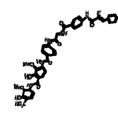 COc1c(NC(=O)c2ccc(NC(=O)c3ccc(NC(=O)CNC(=O)c4ccc(NC(=O)/C(F)=C/c5ccccc5)cc4)cc3)c(OC)c2O)ccc(C(=O)O)c1O